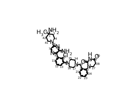 CC1(N)CCN(c2cnc(-c3cccc(N4CCN(Cc5ccccc5N5CCC(=O)NC5=O)CC4)c3Cl)c(N)n2)CC1